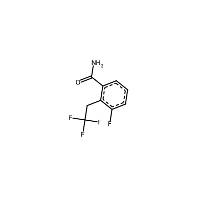 NC(=O)c1cccc(F)c1CC(F)(F)F